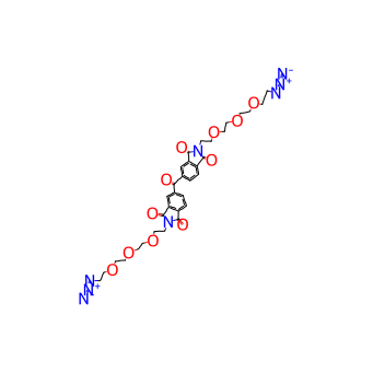 [N-]=[N+]=NCCOCCOCCOCCN1C(=O)c2ccc(C(=O)c3ccc4c(c3)C(=O)N(CCOCCOCCOCCN=[N+]=[N-])C4=O)cc2C1=O